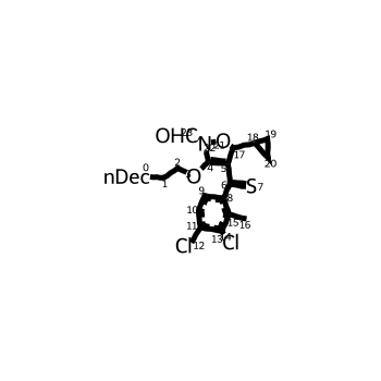 CCCCCCCCCCCCOC1=C(C(=S)c2ccc(Cl)c(Cl)c2C)C(C2CC2)ON1C=O